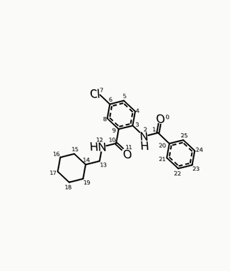 O=C(Nc1ccc(Cl)cc1C(=O)NCC1CCCCC1)c1ccccc1